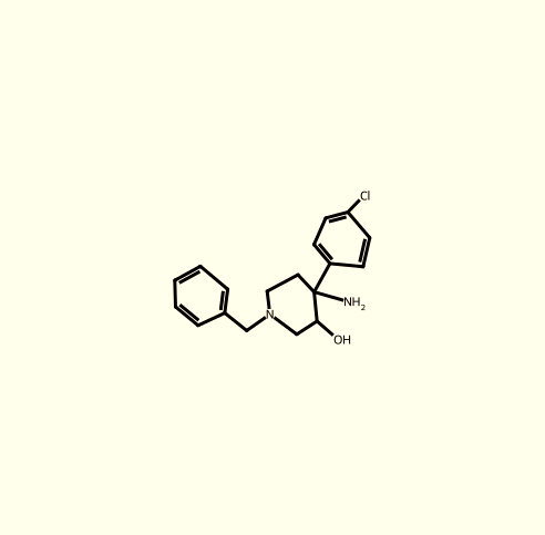 NC1(c2ccc(Cl)cc2)CCN(Cc2ccccc2)CC1O